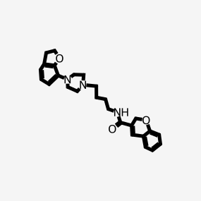 O=C(NCCCCN1CCN(c2cccc3c2OCC3)CC1)C1=Cc2ccccc2OC1